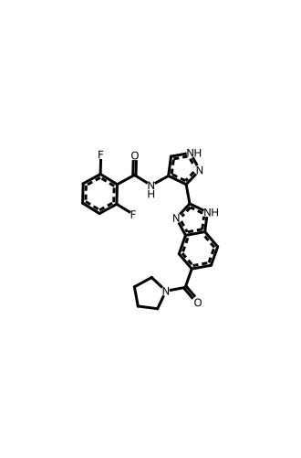 O=C(Nc1c[nH]nc1-c1nc2cc(C(=O)N3CCCC3)ccc2[nH]1)c1c(F)cccc1F